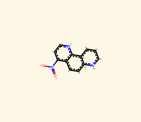 O=[N+]([O-])c1ccnc2c1ccc1ncccc12